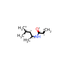 C=CC(=O)NC(C)CC(C)C